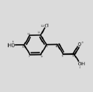 O=C(O)C=Cc1ccc(O)cc1Cl